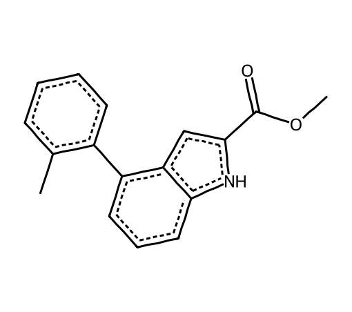 COC(=O)c1cc2c(-c3ccccc3C)cccc2[nH]1